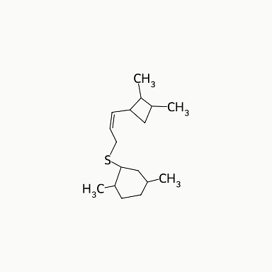 CC1CCC(C)C(SC/C=C\C2CC(C)C2C)C1